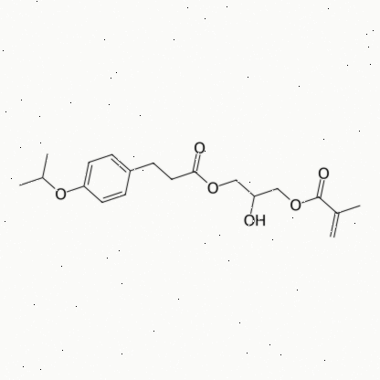 C=C(C)C(=O)OCC(O)COC(=O)CCc1ccc(OC(C)C)cc1